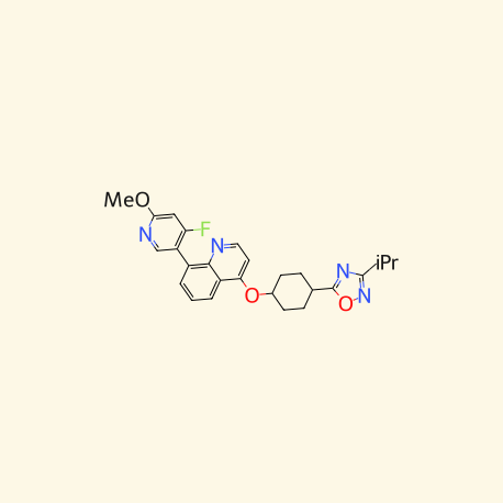 COc1cc(F)c(-c2cccc3c(OC4CCC(c5nc(C(C)C)no5)CC4)ccnc23)cn1